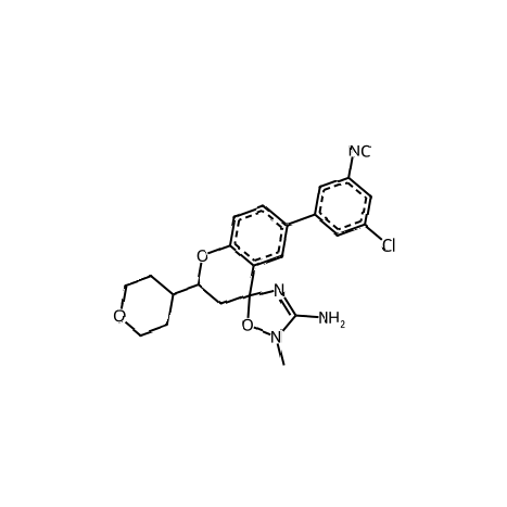 [C-]#[N+]c1cc(Cl)cc(-c2ccc3c(c2)C2(CC(C4CCOCC4)O3)N=C(N)N(C)O2)c1